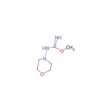 COC(=N)NN1CCOCC1